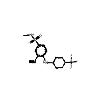 C=Cc1cc(S(=O)(=O)NC)ccc1NC1CCC(C(F)(F)F)CC1